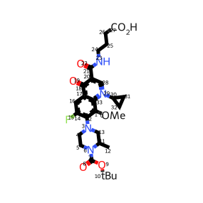 COc1c(N2CCN(C(=O)OC(C)(C)C)C(C)C2)c(F)cc2c(=O)c(C(=O)NCCCC(=O)O)cn(C3CC3)c12